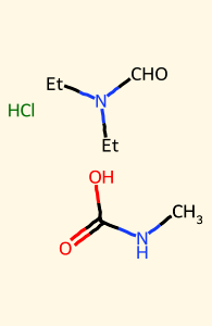 CCN(C=O)CC.CNC(=O)O.Cl